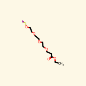 CCOC(=O)CCOCCOCCOCCOSI